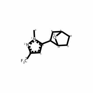 Cn1nc(C(F)(F)F)cc1C1CC2CCC1O2